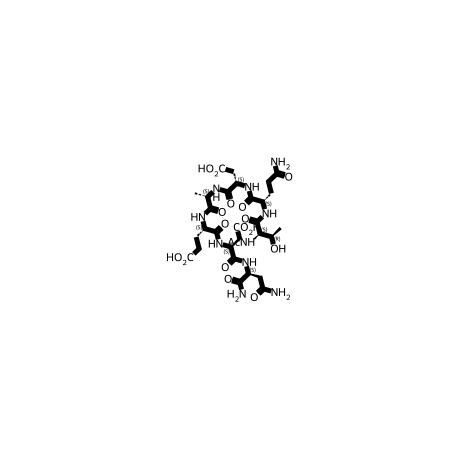 CC(=O)N[C@H](C(=O)N[C@@H](CCC(N)=O)C(=O)N[C@@H](CC(=O)O)C(=O)N[C@@H](C)C(=O)N[C@@H](CCC(=O)O)C(=O)N[C@@H](CC(=O)O)C(=O)N[C@@H](CC(N)=O)C(N)=O)[C@@H](C)O